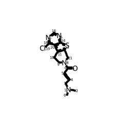 CN(C)CC=CC(=O)N1CCc2c(sc3ncnc(Cl)c23)C1